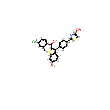 Cc1cc(Cl)ccc1C(=O)c1sc2cc(O)ccc2c1-c1ccc(-c2nc(O)cs2)cc1